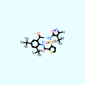 [2H]c1noc(NS(=O)(=O)c2ccsc2C(=O)Nc2c(C(C)=O)cc(C([2H])([2H])[2H])cc2C([2H])([2H])[2H])c1C([2H])([2H])[2H]